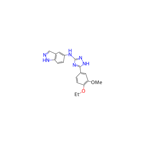 CCOc1ccc(-c2nc(Nc3ccc4[nH]ncc4c3)n[nH]2)cc1OC